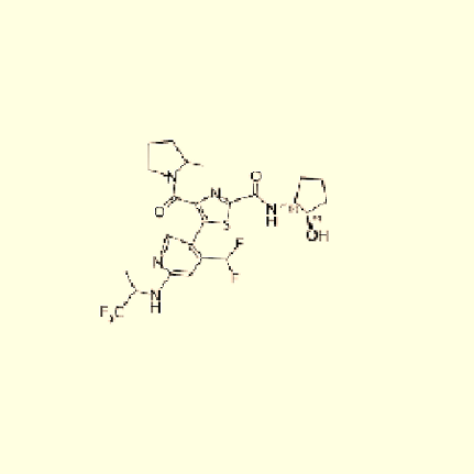 CC1CCCN1C(=O)c1nc(C(=O)N[C@@H]2CCC[C@H]2O)sc1-c1cnc(NC(C)C(F)(F)F)cc1C(F)F